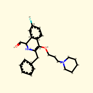 O=CC1NC(Cc2ccccc2)=C(OCCCN2CCCCC2)c2ccc(F)cc21